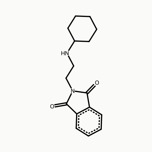 O=C1c2ccccc2C(=O)N1CCNC1CCCCC1